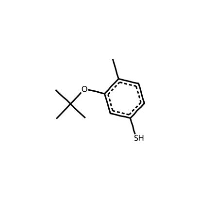 Cc1ccc(S)cc1OC(C)(C)C